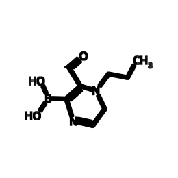 CCCN1CC=NC(B(O)O)=C1[C]=O